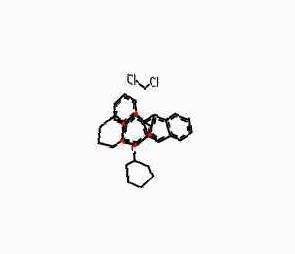 ClCCl.c1ccc(-c2c(P(C3CCCCC3)C3CCCCC3)c3c4ccccc4c2c2ccccc23)cc1